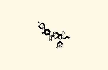 C=CCn1c(=O)c2cnc(Nc3ccc(N4CCN(C)CC4)c(C)c3)nc2n1-c1cnn(C)c1